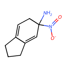 NC1([N+](=O)[O-])C=C2CCCC2=CC1